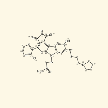 NC(=O)CCn1c2cc(OCCCN3CCCC3)c(O)cc2c2c3c(c(-c4ccccc4Cl)cc21)C(=O)NC3=O